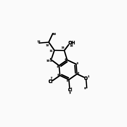 COc1cc2c(c(Cl)c1Cl)SC(C(C)C)C2O